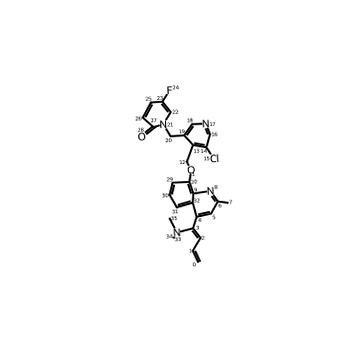 C=C/C=C(/c1cc(C)nc2c(OCc3c(Cl)cncc3Cn3cc(F)ccc3=O)cccc12)N(C)C